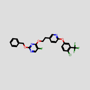 Fc1cnc(OCc2ccccc2)nc1OCCc1ccc(Oc2ccc(Cl)c(C(F)(F)F)c2)nc1